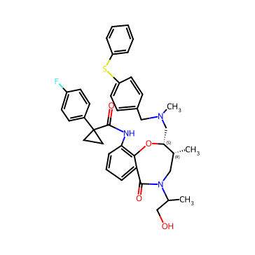 CC(CO)N1C[C@@H](C)[C@@H](CN(C)Cc2ccc(Sc3ccccc3)cc2)Oc2c(NC(=O)C3(c4ccc(F)cc4)CC3)cccc2C1=O